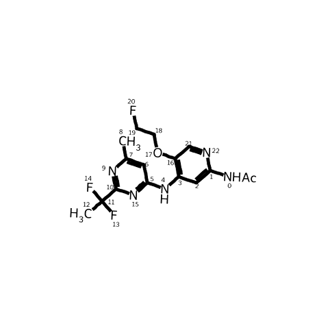 CC(=O)Nc1cc(Nc2cc(C)nc(C(C)(F)F)n2)c(OCCF)cn1